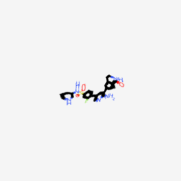 Nc1ncc(-c2ccc(S(=O)(=O)NC3CCCNC3)cc2F)cc1-c1ccc2c(c1)CCNC2=O